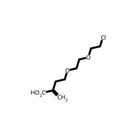 C=C(CCOCCOCCCl)C(=O)O